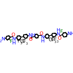 Nc1ccc(C(=O)Nc2ccc(-c3ccc(NC(=O)c4ccc(C(=O)Nc5ccc(-c6ccc(NC(=O)c7ccc(N)cc7F)cc6C(F)(F)F)c(C(F)(F)F)c5)cc4)cc3C(F)(F)F)c(C(F)(F)F)c2)c(F)c1